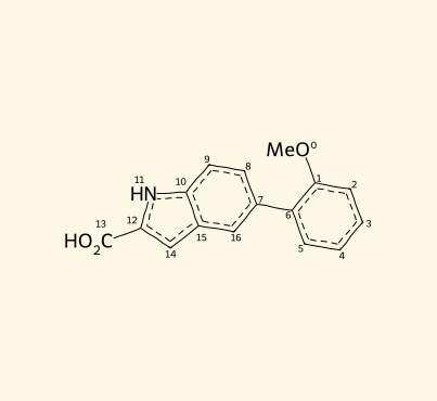 COc1ccccc1-c1ccc2[nH]c(C(=O)O)cc2c1